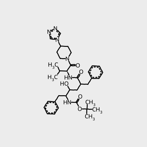 CC(C)[C@H](NC(=O)C(Cc1ccccc1)CC(O)C(Cc1ccccc1)NC(=O)OC(C)(C)C)C(=O)N1CCC(n2cnnc2)CC1